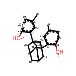 Cc1ccc(O)c(C23CC4CC(C2)CC(c2cc(C)ccc2O)(C4)C3)c1